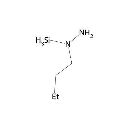 CCCCN(N)[SiH3]